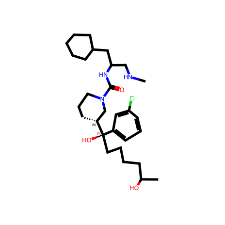 CNCC(CC1CCCCC1)NC(=O)N1CCC[C@@H]([C@@](O)(CCCCC(C)O)c2cccc(Cl)c2)C1